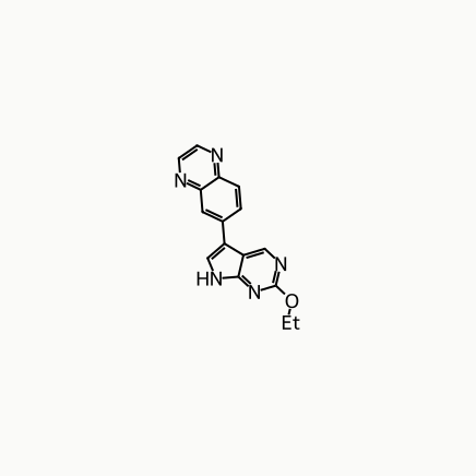 CCOc1ncc2c(-c3ccc4nccnc4c3)c[nH]c2n1